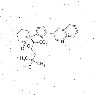 C[Si](C)(C)CCC(C(=O)O)[C@]1(c2ccc(-c3cnc4ccccc4c3)s2)CCCCS1(=O)=O